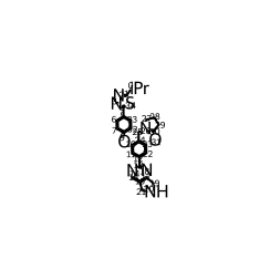 CC(C)c1nnc(-c2ccc(Oc3cc(-c4ncc5c(n4)CNC5)ccc3CN3CCCC3=O)cc2)s1